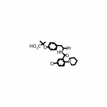 CC(C)C(Cc1ccc(OC(C)(C)C(=O)O)cc1)NC(=O)c1cc(Cl)ccc1N1CCCCC1